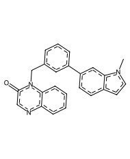 Cn1ccc2ccc(-c3cccc(Cn4c(=O)cnc5ccccc54)c3)cc21